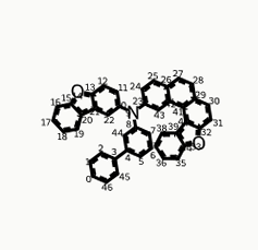 c1ccc(-c2cccc(N(c3ccc4oc5ccccc5c4c3)c3ccc4ccc5ccc6oc7ccccc7c6c5c4c3)c2)cc1